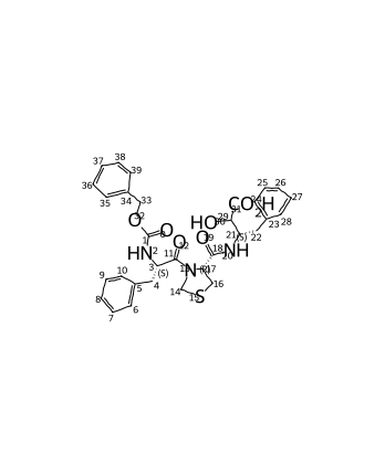 O=C(N[C@@H](Cc1ccccc1)C(=O)N1CSC[C@H]1C(=O)N[C@@H](Cc1ccccc1)C(O)C(=O)O)OCc1ccccc1